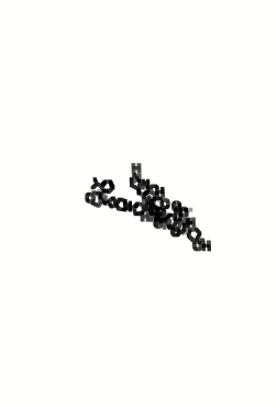 CC(C)c1ccccc1[C@@H]1COCCN1C1CC2(CCN(c3ccc(C(=O)NS(=O)(=O)c4cc([N+](=O)[O-])c5c(n4)OC[C@@H](C4(F)CCC(C)(O)CC4)N5)c(N4c5cc6cc[nH]c6nc5O[C@H]5COCC[C@@H]54)c3)CC2)C1